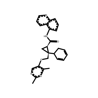 Cc1ncc(OC[C@@]2(C3C=CC=CC3)C[C@H]2C(=O)Nc2cccc3ncccc23)c(C)n1